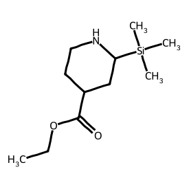 CCOC(=O)C1CCNC([Si](C)(C)C)C1